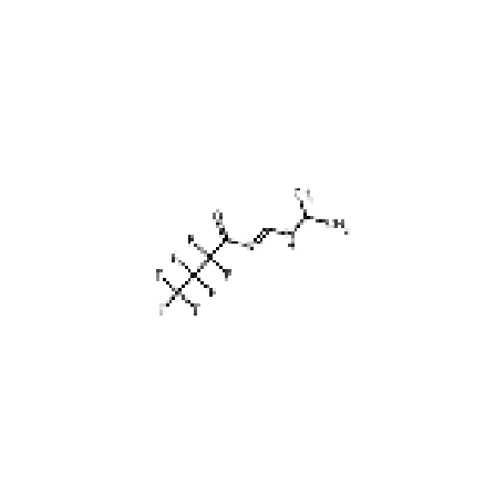 CC(C)NC=NC(=O)C(F)(F)C(F)(F)C(F)(F)F